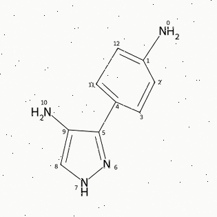 Nc1ccc(-c2n[nH]cc2N)cc1